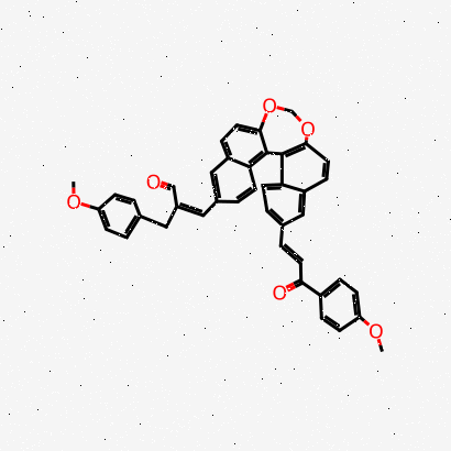 COc1ccc(C/C(C=O)=C/c2ccc3c4c(ccc3c2)OCOc2ccc3cc(/C=C/C(=O)c5ccc(OC)cc5)ccc3c2-4)cc1